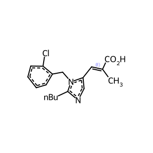 CCCCc1ncc(/C=C(\C)C(=O)O)n1Cc1ccccc1Cl